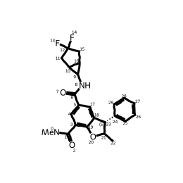 CNC(=O)c1cc(C(=O)NC2C3CC(F)(F)CC32)cc2c1OC(C)[C@H]2c1ccccc1